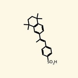 CC(=Cc1ccc(S(=O)(=O)O)cc1)c1ccc2c(c1)C(C)(C)CCC2(C)C